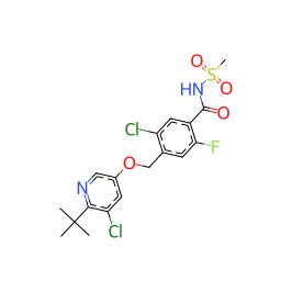 CC(C)(C)c1ncc(OCc2cc(F)c(C(=O)NS(C)(=O)=O)cc2Cl)cc1Cl